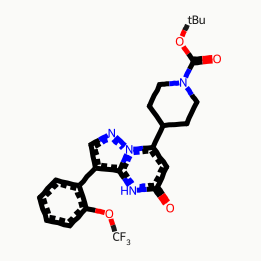 CC(C)(C)OC(=O)N1CCC(c2cc(=O)[nH]c3c(-c4ccccc4OC(F)(F)F)cnn23)CC1